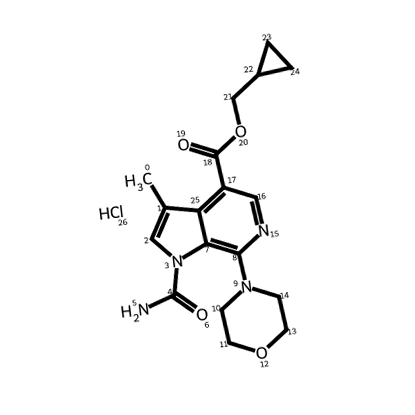 Cc1cn(C(N)=O)c2c(N3CCOCC3)ncc(C(=O)OCC3CC3)c12.Cl